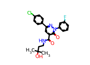 CC(C)(O)CCNC(=O)c1cc(-c2ccc(Cl)cc2)nn(-c2cccc(F)c2)c1=O